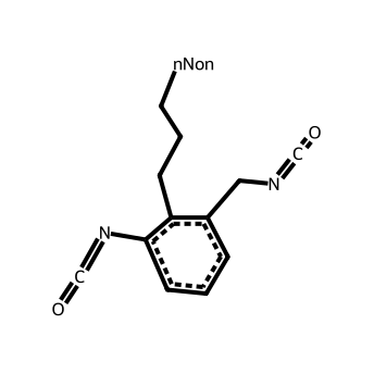 CCCCCCCCCCCCc1c(CN=C=O)cccc1N=C=O